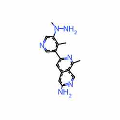 Cc1c(-c2cc3cc(N)ncc3c(C)n2)cncc1N(C)N